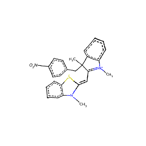 CN1/C(=C/C2=[N+](C)c3ccccc3C2(C)Cc2ccc([N+](=O)[O-])cc2)Sc2ccccc21